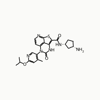 Cc1cc(OC(C)C)ncc1N1C(=O)Nc2c(C(=O)N[C@@H]3CC[C@H](N)C3)sc3nccc1c23